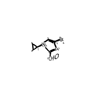 O=Cc1nc(Br)cn1C1CC1